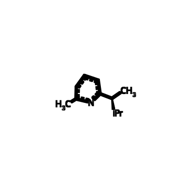 Cc1cccc([C@@H](C)C(C)C)n1